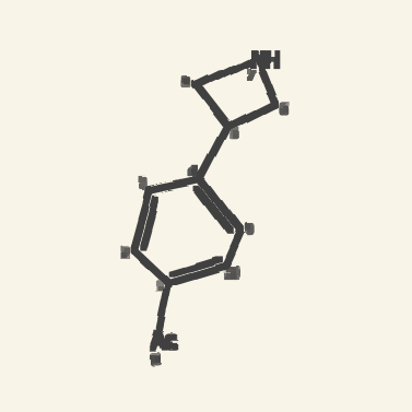 CC(=O)c1ccc(C2CNC2)cc1